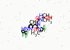 Cc1cc(NCC2(C(F)(F)F)CCC2)ncc1-c1sc(C(=O)NCC(C)(C)O)nc1C(=O)N1CC(F)(F)C[C@@H]1C